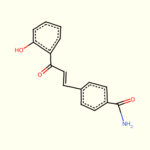 NC(=O)c1ccc(C=CC(=O)c2ccccc2O)cc1